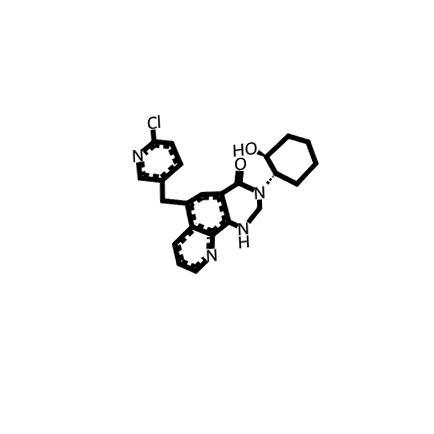 O=C1c2cc(Cc3ccc(Cl)nc3)c3cccnc3c2NCN1[C@H]1CCCC[C@@H]1O